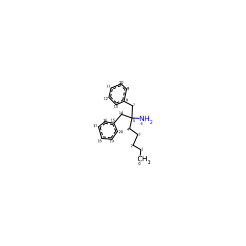 CCCCCC(N)(Cc1ccccc1)Cc1ccccc1